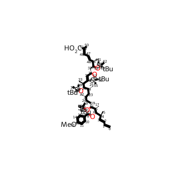 C=CC=C[C@H](C)[C@H](OCc1ccc(OC)cc1)[C@@H](C)[C@@H](CC[C@H](C)C[C@@H](C)[C@@H](O[Si](C)(C)C(C)(C)C)[C@@H](C)C=C[C@H](C[C@H](O[Si](C)(C)C(C)(C)C)[C@@H](C)C=CC=C(C)C(=O)O)O[Si](C)(C)C(C)(C)C)O[Si](C)(C)C(C)(C)C